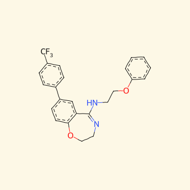 FC(F)(F)c1ccc(-c2ccc3c(c2)C(NCCOc2ccccc2)=NCCO3)cc1